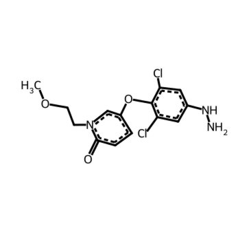 COCCn1cc(Oc2c(Cl)cc(NN)cc2Cl)ccc1=O